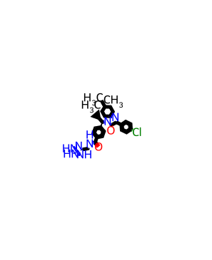 CC(C)(C)C1CCC2(CC1)N=C(c1ccc(Cl)cc1)C(=O)N2[C@@H](c1ccc(C(=O)NCC2=NNNN2)cc1)C1CC1